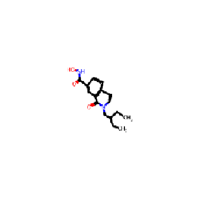 CCC(CC)Cn1ccc2ccc(C(=O)NO)cc2c1=O